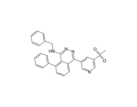 CS(=O)(=O)c1cncc(-c2nnc(NCc3ccccc3)c3c(-c4ccccc4)cccc23)c1